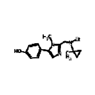 CCN(Cc1ncc(-c2ccc(O)cc2)n1C)C1(C)CC1